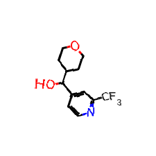 OC(c1ccnc(C(F)(F)F)c1)C1CCOCC1